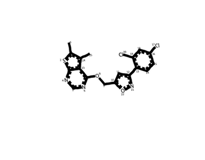 Cc1sc2ncnc(OCc3cc(-c4ccc(Cl)cc4Cl)no3)c2c1C